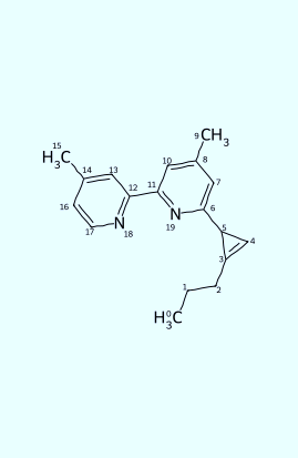 CCCC1=CC1c1cc(C)cc(-c2cc(C)ccn2)n1